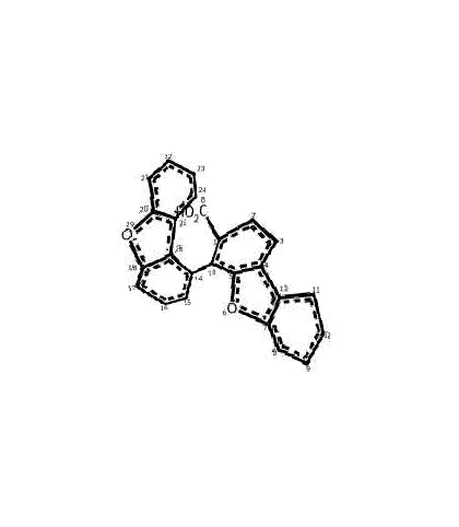 O=C(O)c1ccc2c(oc3ccccc32)c1-c1cccc2oc3ccccc3c12